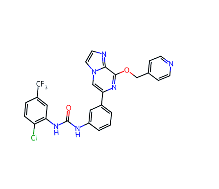 O=C(Nc1cccc(-c2cn3ccnc3c(OCc3ccncc3)n2)c1)Nc1cc(C(F)(F)F)ccc1Cl